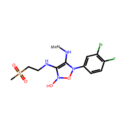 CNNC1=C(NCCS(C)(=O)=O)N(O)ON1c1ccc(F)c(Br)c1